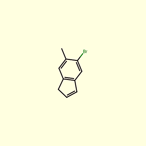 Cc1cc2c(cc1Br)C=CC2